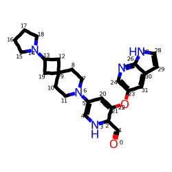 O=CC1NC=C(N2CCC3(CC2)CC(N2CCCC2)C3)C=C1Oc1cnc2[nH]ccc2c1